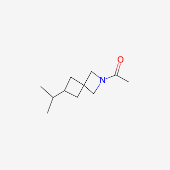 CC(=O)N1CC2(CC(C(C)C)C2)C1